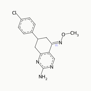 CO/N=C1\CC(c2ccc(Cl)cc2)Cc2nc(N)ncc21